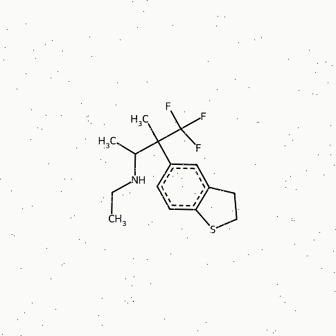 CCNC(C)C(C)(c1ccc2c(c1)CCS2)C(F)(F)F